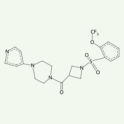 O=C(C1CN(S(=O)(=O)c2ccccc2OC(F)(F)F)C1)N1CCN(c2ccncc2)CC1